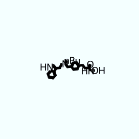 CCCCN(CCc1c[nH]c2ccccc12)Cc1ccc(CCC(=O)NO)cc1